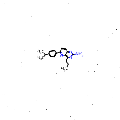 CCCc1nc(N)nc2ccc(-c3ccc(C(C)C)cc3)nc12